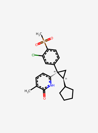 Cc1ccc([C@]2(c3ccc(S(C)(=O)=O)c(Cl)c3)C[C@H]2C2CCCC2)[nH]c1=O